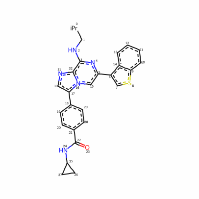 CC(C)CNc1nc(-c2csc3ccccc23)cn2c(-c3ccc(C(=O)NC4CC4)cc3)cnc12